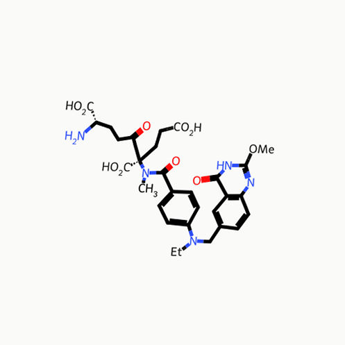 CCN(Cc1ccc2nc(OC)[nH]c(=O)c2c1)c1ccc(C(=O)N(C)[C@@](CCC(=O)O)(C(=O)O)C(=O)CC[C@H](N)C(=O)O)cc1